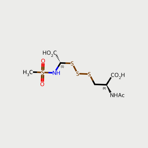 CC(=O)N[C@@H](CSSS[C@H](NS(C)(=O)=O)C(=O)O)C(=O)O